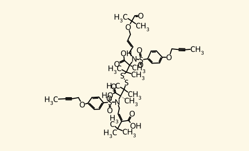 CC#CCOc1ccc(S(=O)(=O)N(CC=CCOC(C)(C)C=O)[C@@](C)(C(=O)O)C(C)(C)SSC(C)(C)[C@](C)(C(=O)O)N(CC=C(C(=O)O)C(C)(C)C)S(=O)(=O)c2ccc(OCC#CC)cc2)cc1